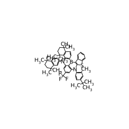 Cc1cc(C(C)(C)C)ccc1N1c2cc(C(F)(F)F)cc3c2B(c2ccc4c(c2N3c2ccc3c(c2)C(C)(C)CCC3(C)C)C(C)(C)CCC4(C)C)c2c1sc1ccccc21